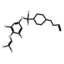 C=CCCC1CCC(C(F)(F)Oc2cc(F)c(OC=C(F)F)c(F)c2)CC1